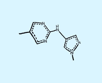 Cc1cnc(Nc2cnn(C)c2)nc1